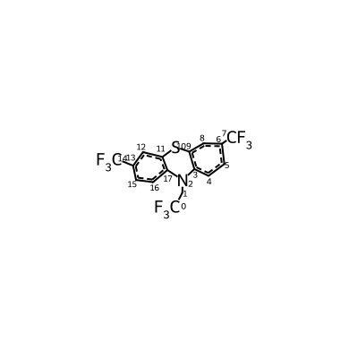 FC(F)(F)CN1c2ccc(C(F)(F)F)cc2Sc2cc(C(F)(F)F)ccc21